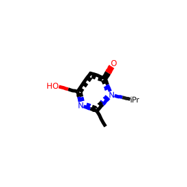 Cc1nc(O)cc(=O)n1C(C)C